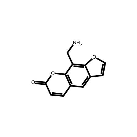 NCc1c2occc2cc2ccc(=O)oc12